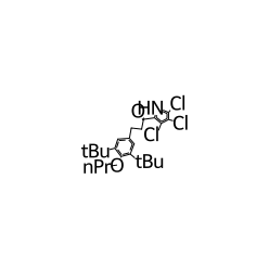 CCCOc1c(C(C)(C)C)cc(CCC(=O)c2[nH]c(Cl)c(Cl)c2Cl)cc1C(C)(C)C